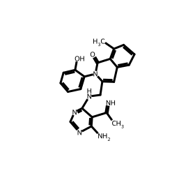 CC(=N)c1c(N)ncnc1NCc1cc2cccc(C)c2c(=O)n1-c1ccccc1O